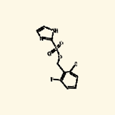 O=S(=O)(OCc1c(F)cccc1Cl)c1ncc[nH]1